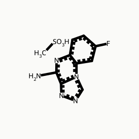 CS(=O)(=O)O.Nc1nc2ccc(F)cc2n2cnnc12